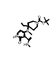 C=C(NC)c1c(N(C)C2(CC)CCN(C(=O)OC(C)(C)C)CC2)cc[nH]c1=O